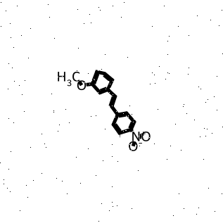 COc1cccc(C=Cc2ccc([N+](=O)[O-])cc2)c1